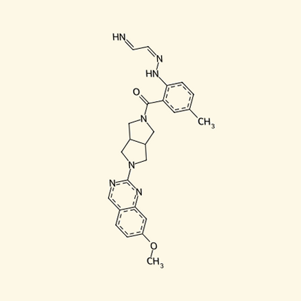 COc1ccc2cnc(N3CC4CN(C(=O)c5cc(C)ccc5N/N=C\C=N)CC4C3)nc2c1